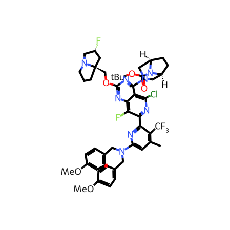 COc1ccc(CN(Cc2ccc(OC)cc2)c2cc(C)c(C(F)(F)F)c(-c3nc(Cl)c4c(N5C[C@H]6CC[C@@H](C5)N6C(=O)OC(C)(C)C)nc(OC[C@@]56CCCN5C[C@H](F)C6)nc4c3F)n2)cc1